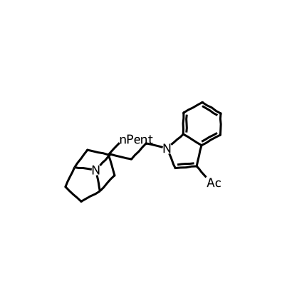 CCCCCC1CC2CCC(C1)N2CCCn1cc(C(C)=O)c2ccccc21